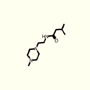 CC(C)CC(=O)NCCN1CCN(C)CC1